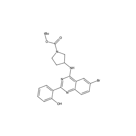 CC(C)(C)OC(=O)N1CCC(Nc2nc(-c3ccccc3O)nc3ccc(Br)cc23)C1